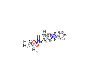 CC(C)(C)OC(=O)NCCCC(Cc1cn(C2CCCCC2)cn1)C(=O)O